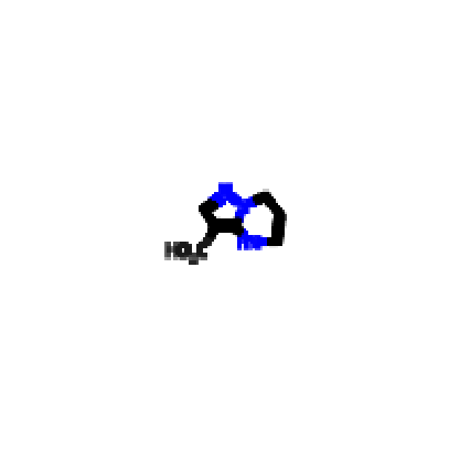 O=C(O)c1cnn2c1NC=CC2